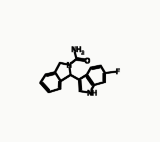 NC(=O)N1Cc2ccccc2C1c1c[nH]c2cc(F)ccc12